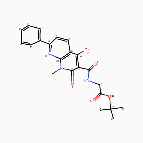 Cn1c(=O)c(C(=O)NCC(=O)OC(C)(C)C)c(O)c2ccc(-c3ccccc3)nc21